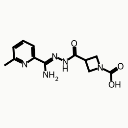 Cc1cccc(/C(N)=N/NC(=O)C2CN(C(=O)O)C2)n1